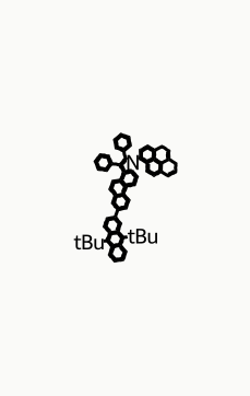 CC(C)(C)c1c2ccccc2c(C(C)(C)C)c2cc(-c3ccc4c(ccc5c4ccc4c5c(-c5ccccc5)c(-c5ccccc5)n4-c4ccc5c6c7c(ccc46)C=CCC7=CC5)c3)ccc12